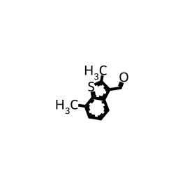 Cc1sc2c(C)cccc2c1C=O